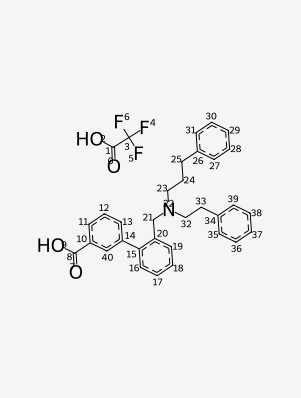 O=C(O)C(F)(F)F.O=C(O)c1cccc(-c2ccccc2CN(CCCc2ccccc2)CCc2ccccc2)c1